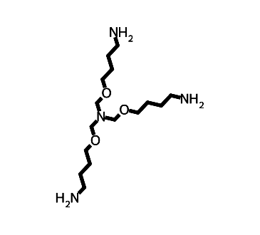 NCCCCOCN(COCCCCN)COCCCCN